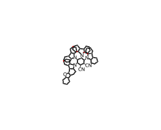 N#Cc1c(C#N)c(-n2c3ccccc3c3c4oc5ccccc5c4ccc32)c(-n2c3ccccc3c3ccccc32)c(-n2c3ccccc3c3ccccc32)c1-n1c2ccccc2c2ccccc21